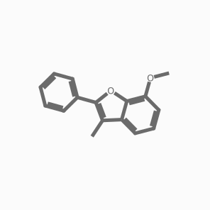 COc1cccc2c(C)c(-c3ccccc3)oc12